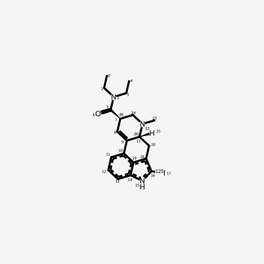 CCN(CC)C(=O)[C@@H]1C=C2c3cccc4[nH]c([125I])c(c34)C[C@H]2N(C)C1